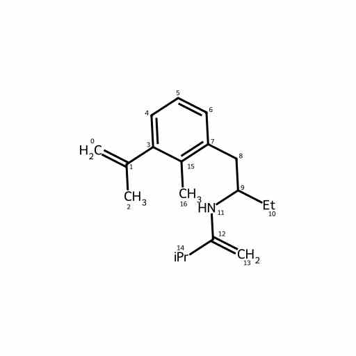 C=C(C)c1cccc(CC(CC)NC(=C)C(C)C)c1C